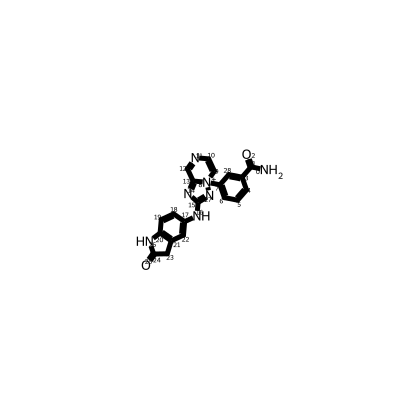 NC(=O)c1cccc([N+]23C=CN=CC2=NC(Nc2ccc4c(c2)CC(=O)N4)=N3)c1